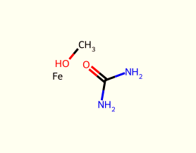 CO.NC(N)=O.[Fe]